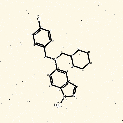 Cn1ncc2cc(N(Cc3ccc(Cl)cc3)CC3CCCCC3)ccc21